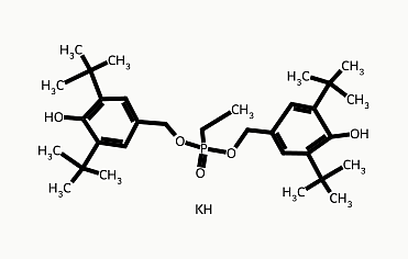 CCP(=O)(OCc1cc(C(C)(C)C)c(O)c(C(C)(C)C)c1)OCc1cc(C(C)(C)C)c(O)c(C(C)(C)C)c1.[KH]